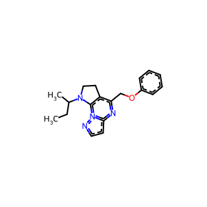 CCC(C)N1CCc2c(COc3ccccc3)nc3ccnn3c21